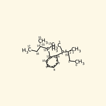 CC[C@H](C)P(C)c1ccccc1P(C)[C@@H](C)CC